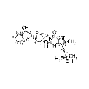 C[C@H](CC(=O)N1CCC(O)(Cn2cnc3c(C#CC(C)(C)O)n(C)nc3c2=O)CC1)c1ccccc1